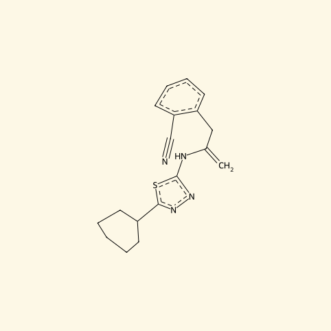 C=C(Cc1ccccc1C#N)Nc1nnc(C2CCCCC2)s1